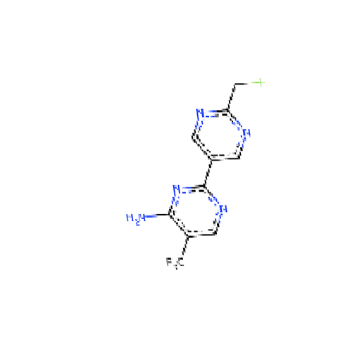 Nc1nc(-c2cnc(CF)nc2)ncc1C(F)(F)F